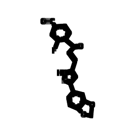 O=Cc1ccc(C(=O)/C=C/c2cc(-c3ccc4c(c3)OCO4)n[nH]2)c(F)c1